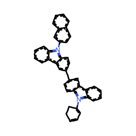 C1=CCCC(n2c3ccccc3c3cc(-c4ccc5c(c4)c4ccccc4n5-c4ccc5ccccc5c4)ccc32)=C1